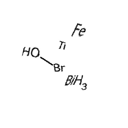 OBr.[BiH3].[Fe].[Ti]